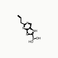 C=CCc1ncc2[nH]c(B(O)O)nc2n1